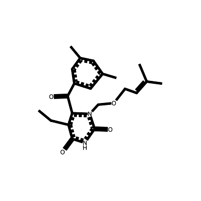 CCc1c(C(=O)c2cc(C)cc(C)c2)n(COCC=C(C)C)c(=O)[nH]c1=O